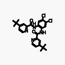 CC(C)(C)c1ccnc(C(=O)Nc2cc(Cl)c(Cl)cc2NC(=O)c2cc(C(C)(C)C)ccn2)c1